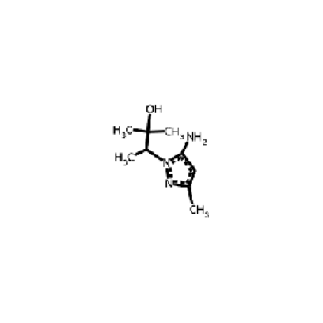 Cc1cc(N)n(C(C)C(C)(C)O)n1